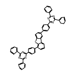 C1=CCCC(c2nc(-c3ccccc3)nc(-c3ccc(-c4ccc5sc6c(-c7ccc(-c8nc(-c9ccccc9)nc(-c9ccccc9)n8)cc7)cccc6c5c4)cc3)n2)=C1